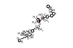 Cc1c(-c2ccc(-c3ccc4cncc(C(=O)Nc5nc6ccccc6s5)c4c3)nc2C(=O)O)cnn1CC12CC3(C)CC(C)(C1)CC(OCCN(C)C(=O)OCc1ccc(N(C(=O)[C@@H](NC(=O)CCCCCN4C(=O)C=CC4=O)C(C)C)[C@@H](CCCNC(N)=O)C(N)=O)cc1)(C3)C2